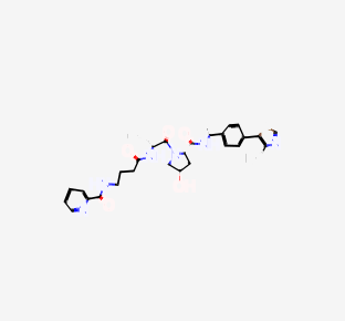 Cc1ncsc1-c1ccc([C@H](C)NC(=O)[C@@H]2C[C@@H](O)CN2C(=O)[C@@H](NC(=O)CCCNC(=O)c2ccccn2)C(C)(C)C)cc1